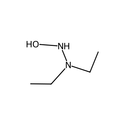 CCN(CC)NO